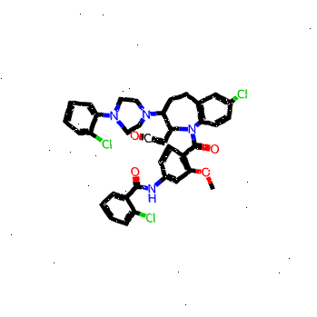 COc1cc(NC(=O)c2ccccc2Cl)ccc1C(=O)N1c2ccc(Cl)cc2CCC(N2CCN(c3ccccc3Cl)CC2)C1C=C=O